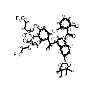 CC1(C)OB(c2cnc3c(c2)c(C(=O)c2ccc(F)c(N(S(=O)(=O)CCC(F)(F)F)S(=O)(=O)CCC(F)(F)F)c2F)cn3C(=O)c2c(Cl)cccc2Cl)OC1(C)C